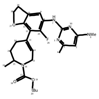 CNc1cc(C)nc(Nc2cc3c(c(C4=CCN(C(=O)OC(C)(C)C)C(C)CC4)c2F)OCC3)n1